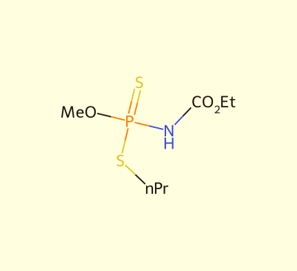 CCCSP(=S)(NC(=O)OCC)OC